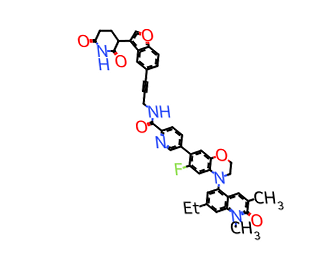 CCc1cc(N2CCOc3cc(-c4ccc(C(=O)NCC#Cc5ccc6occ(C7CCC(=O)NC7=O)c6c5)nc4)c(F)cc32)c2cc(C)c(=O)n(C)c2c1